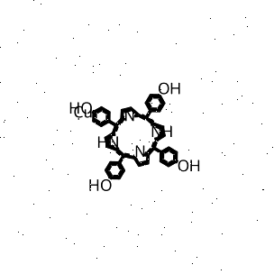 Oc1ccc(-c2c3nc(c(-c4ccc(O)cc4)c4ccc([nH]4)c(-c4ccc(O)cc4)c4nc(c(-c5ccc(O)cc5)c5ccc2[nH]5)C=C4)C=C3)cc1.[Cu]